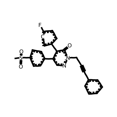 CS(=O)(=O)c1ccc(-c2cnn(CC#Cc3ccccc3)c(=O)c2-c2ccc(F)cc2)cc1